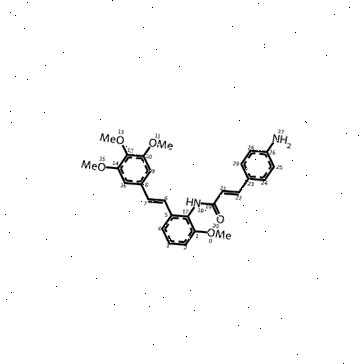 COc1cccc(/C=C/c2cc(OC)c(OC)c(OC)c2)c1NC(=O)/C=C/c1ccc(N)cc1